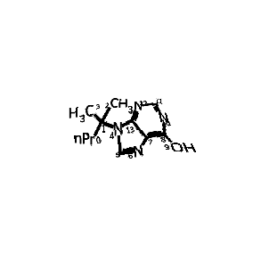 CCCC(C)(C)n1cnc2c(O)ncnc21